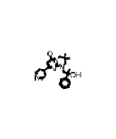 CC1(C)CN(CC(C)(O)c2ccccc2)c2nc(-c3ccncc3)cc(=O)n2C1